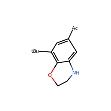 CC(=O)c1cc2c(c(C(C)(C)C)c1)OCCN2